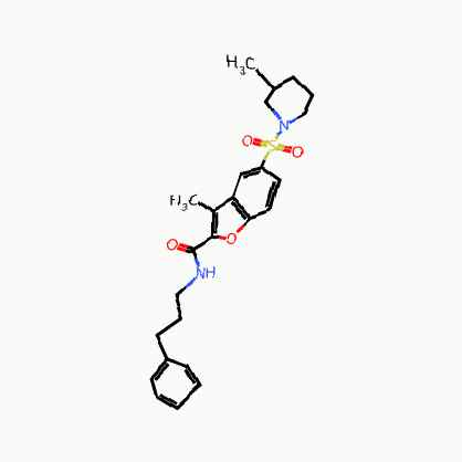 Cc1c(C(=O)NCCCc2ccccc2)oc2ccc(S(=O)(=O)N3CCCC(C)C3)cc12